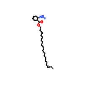 CCCCCCCCCCCCCCCCCOC(=O)c1ccccc1N